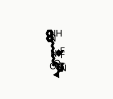 Cc1ncc(C2CC2)c[n+]1OC(=O)CCCN(CCCCc1ccc2c(n1)NCCC2)C1CC(F)(F)C1